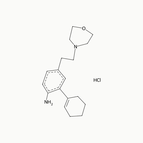 Cl.Nc1ccc(CCN2CCOCC2)cc1C1=CCCCC1